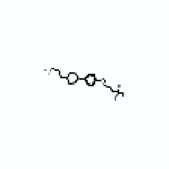 CCCC1CCC(c2ccc(OCCCC(F)(F)F)cc2)CC1